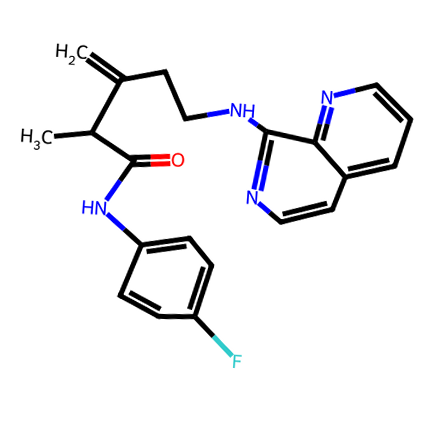 C=C(CCNc1nccc2cccnc12)C(C)C(=O)Nc1ccc(F)cc1